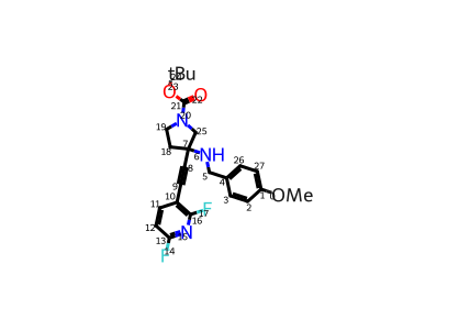 COc1ccc(CNC2(C#Cc3ccc(F)nc3F)CCN(C(=O)OC(C)(C)C)C2)cc1